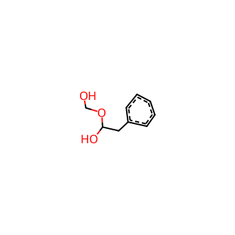 OCOC(O)Cc1ccccc1